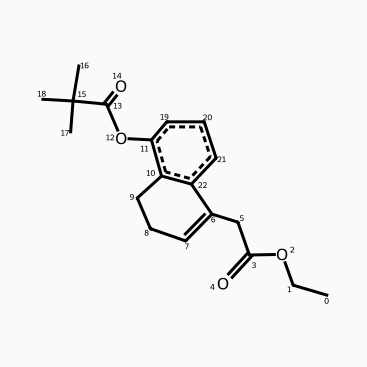 CCOC(=O)CC1=CCCc2c(OC(=O)C(C)(C)C)cccc21